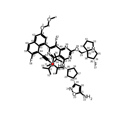 COCOc1cc(-c2nc(OC)c3c(N[C@@H]4CC[C@H](c5cc(N)on5)C4)nc(OC[C@@]45CCCN4C[C@H](F)C5)nc3c2F)c2c(C#C[Si](C(C)C)(C(C)C)C(C)C)c(F)ccc2c1